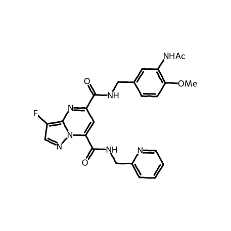 COc1ccc(CNC(=O)c2cc(C(=O)NCc3ccccn3)n3ncc(F)c3n2)cc1NC(C)=O